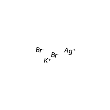 [Ag+].[Br-].[Br-].[K+]